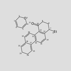 C1=CCOC=C1.CCC1CCC(=O)c2c1ccc1c3c(ccc21)=CCCC=3